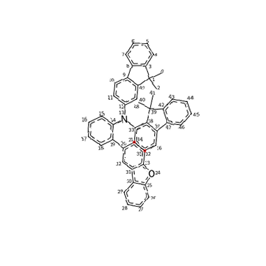 CC1(C)c2ccccc2-c2ccc(N(c3ccccc3-c3ccc4oc5ccccc5c4c3)c3cccc4c3C(C)(C)c3ccccc3-4)cc21